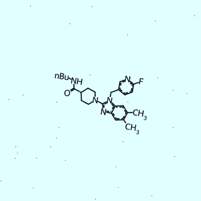 CCCCNC(=O)C1CCN(c2nc3cc(C)c(C)cc3n2Cc2ccc(F)nc2)CC1